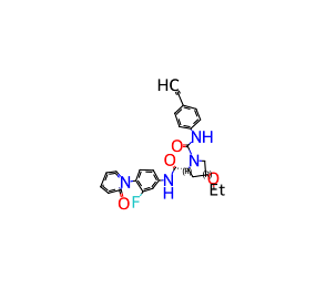 C#Cc1ccc(NC(=O)N2C[C@H](OCC)C[C@@H]2C(=O)Nc2ccc(-n3ccccc3=O)c(F)c2)cc1